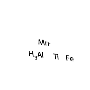 [AlH3].[Fe].[Mn].[Ti]